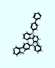 c1ccc(-c2ccc(-n3c4ccccc4c4c3ccc3c5ccccc5n(-c5ccc6c(c5)sc5ccccc56)c34)cc2)cc1